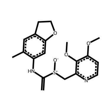 C=C(Nc1cc2c(cc1C)CCO2)[S+]([O-])Cc1nccc(OC)c1OC